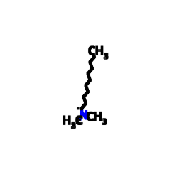 CCCCCCCCCC[CH]N(C)C